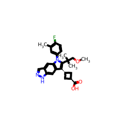 COCC(C)(C)c1c([C@H]2C[C@H](C(=O)O)C2)c2cc3[nH]ncc3cc2n1-c1ccc(F)c(C)c1